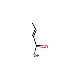 C/C=C/C([NH])=O